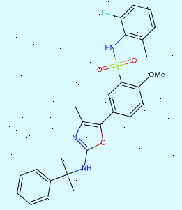 COc1ccc(-c2oc(NC(C)(C)c3ccccc3)nc2C)cc1S(=O)(=O)Nc1c(C)cccc1F